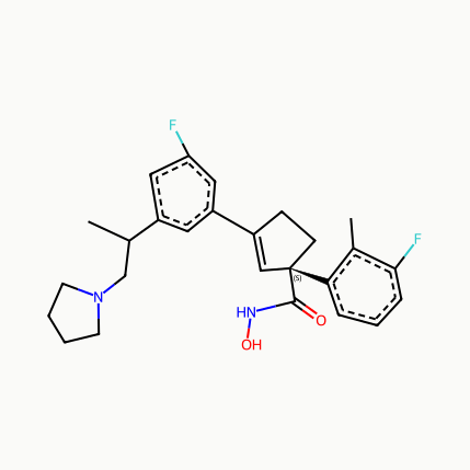 Cc1c(F)cccc1[C@@]1(C(=O)NO)C=C(c2cc(F)cc(C(C)CN3CCCC3)c2)CC1